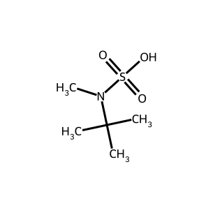 CN(C(C)(C)C)S(=O)(=O)O